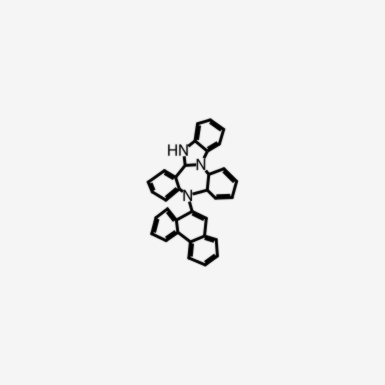 C1=CC2C(C=C1)N1c3ccccc3NC1c1ccccc1N2c1cc2ccccc2c2ccccc12